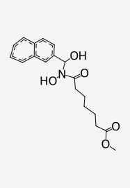 COC(=O)CCCCCC(=O)N(O)C(O)c1ccc2ccccc2c1